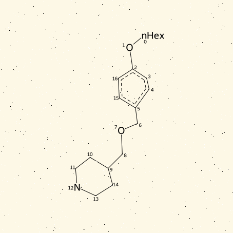 CCCCCCOc1ccc(COCC2CC[N]CC2)cc1